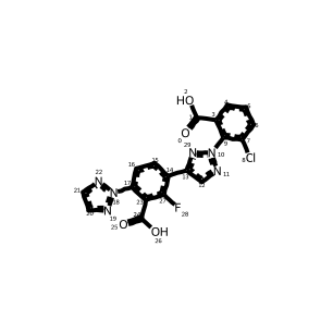 O=C(O)c1cccc(Cl)c1-n1ncc(-c2ccc(-n3nccn3)c(C(=O)O)c2F)n1